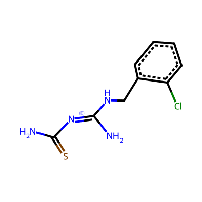 NC(=S)/N=C(\N)NCc1ccccc1Cl